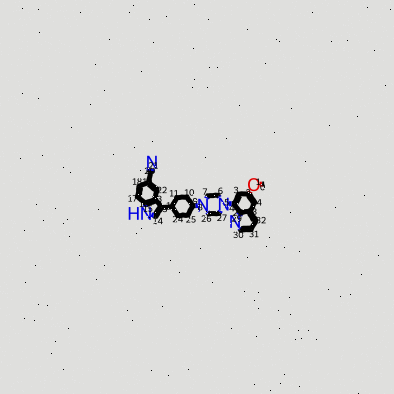 COc1cc(N2CCN(C3CCC(c4c[nH]c5ccc(C#N)cc45)CC3)CC2)c2ncccc2c1